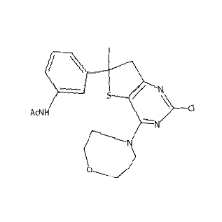 CC(=O)Nc1cccc(C2(I)Cc3nc(Cl)nc(N4CCOCC4)c3S2)c1